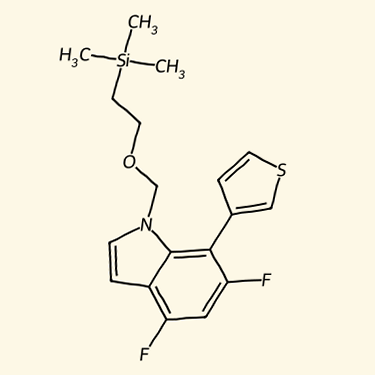 C[Si](C)(C)CCOCn1ccc2c(F)cc(F)c(-c3ccsc3)c21